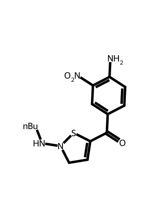 CCCCNN1CC=C(C(=O)c2ccc(N)c([N+](=O)[O-])c2)S1